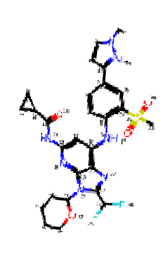 Cn1ccc(-c2ccc(Nc3cc(NC(=O)C4CC4)nc4c3nc(C(F)F)n4C3CCCCO3)c(S(C)(=O)=O)c2)n1